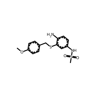 COc1ccc(CSc2cc(NS(C)(=O)=O)ccc2N)cc1